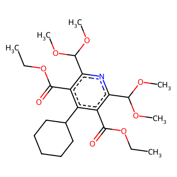 CCOC(=O)c1c(C(OC)OC)nc(C(OC)OC)c(C(=O)OCC)c1C1CCCCC1